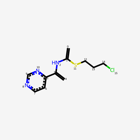 C=C(NC(=C)c1ccncn1)SCCCCl